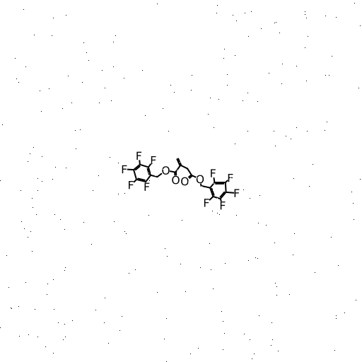 C=C(CC(=O)OCc1c(F)c(F)c(F)c(F)c1F)C(=O)OCc1c(F)c(F)c(F)c(F)c1F